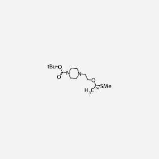 CS[C@@H](C)OCCN1CCN(C(=O)OC(C)(C)C)CC1